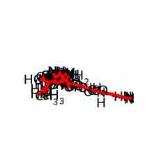 CCCCC(NC(=O)CCNC(=O)C(CCCCN(CC(=O)O)CC(=O)O)NC(=O)C(Cc1c[nH]cn1)NC(=O)C(CCC(N)=O)NC(=O)[C@H](CO)NC(=O)[C@H](CO)NC(=O)[C@H](CCC(N)=O)NC(=O)[C@@H](CO)NC(=O)CNC(=O)COCCOCCNC(=O)COCCOCCNC(=O)CCCCCCCCCCCCCCCc1nnn[nH]1)C(=O)NC